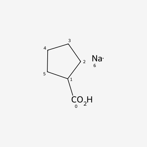 O=C(O)C1CCCC1.[Na]